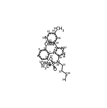 COc1cccc(OC)c1-n1c(-c2cncc(C)c2)nnc1N(CCSI)S(C)(=O)=O